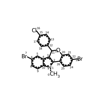 Cn1c2c(c3cc(Br)ccc31)C(c1ccc(Cl)cc1)Oc1cc(Br)ccc1-2